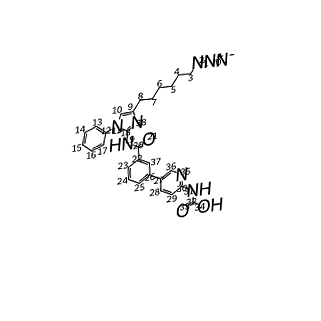 [N-]=[N+]=NCCCCCCc1cn(-c2ccccc2)c(NC(=O)c2cccc(-c3ccc(NC(=O)O)nc3)c2)n1